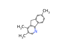 Cc1ccc2c(c1)Cc1c-2ncc(C)c1C